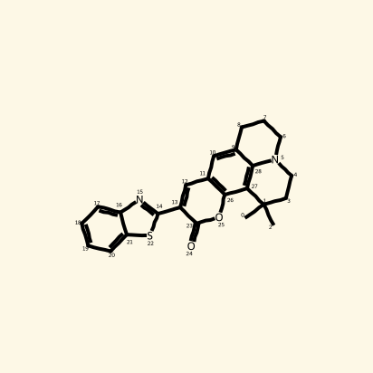 CC1(C)CCN2CCCc3cc4cc(-c5nc6ccccc6s5)c(=O)oc4c1c32